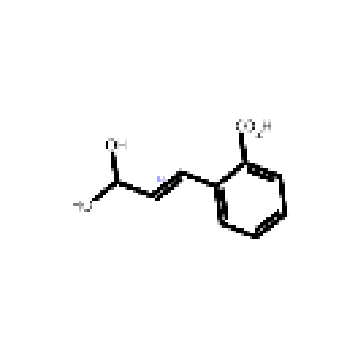 O=C(O)c1ccccc1/C=C/C(O)O